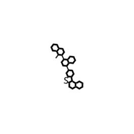 Cc1c(-c2ccc(-c3ccc4c(c3)sc3ccc5ccccc5c34)c3ccccc23)ccc2ccccc12